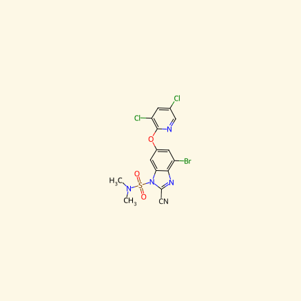 CN(C)S(=O)(=O)n1c(C#N)nc2c(Br)cc(Oc3ncc(Cl)cc3Cl)cc21